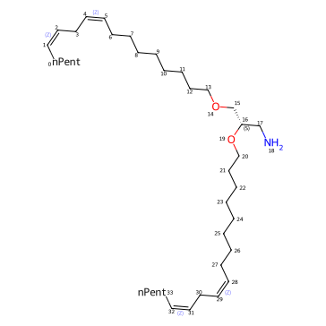 CCCCC/C=C\C/C=C\CCCCCCCCOC[C@H](CN)OCCCCCCCC/C=C\C/C=C\CCCCC